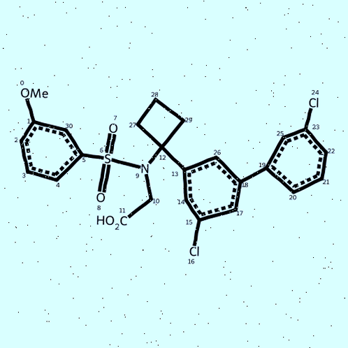 COc1cccc(S(=O)(=O)N(CC(=O)O)C2(c3cc(Cl)cc(-c4cccc(Cl)c4)c3)CCC2)c1